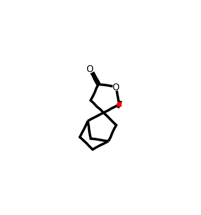 O=C1CC2(CC3CCC2C3)C2(CCCC2)O1